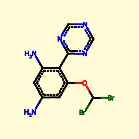 Nc1cc(N)c(-c2ncncn2)c(OC(Br)Br)c1